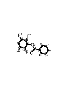 O=C(Oc1c(F)c(F)[c]c(F)c1F)c1ccccc1